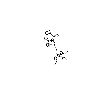 CCO[Si](CCCCN(C(=O)O)C(=O)C1CO1)(OCC)OCC